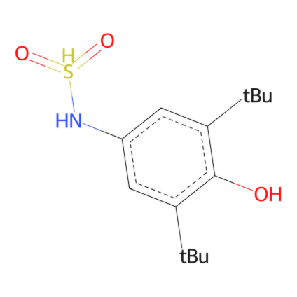 CC(C)(C)c1cc(N[SH](=O)=O)cc(C(C)(C)C)c1O